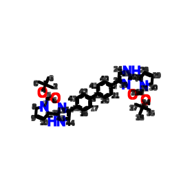 CC(C)(C)OC(=O)N1CC=CC1c1nc(-c2ccc(-c3ccc(-c4c[nH]c([C@@H]5C=CCN5C(=O)OC(C)(C)C)n4)cc3)cc2)c[nH]1